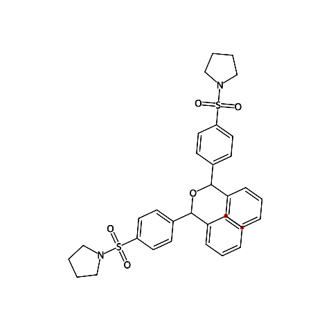 O=S(=O)(c1ccc(C(OC(c2ccccc2)c2ccc(S(=O)(=O)N3CCCC3)cc2)c2ccccc2)cc1)N1CCCC1